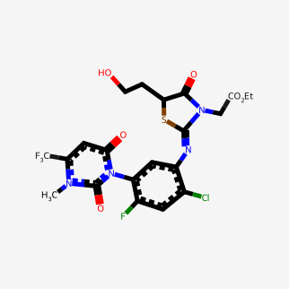 CCOC(=O)CN1C(=O)C(CCO)SC1=Nc1cc(-n2c(=O)cc(C(F)(F)F)n(C)c2=O)c(F)cc1Cl